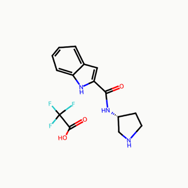 O=C(N[C@@H]1CCNC1)c1cc2ccccc2[nH]1.O=C(O)C(F)(F)F